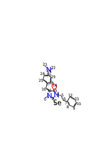 CN1C(=[Se])N(CCc2ccccc2)C(=O)C1=Cc1ccc(N(C)C)cc1